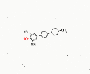 CC1CCC(c2ccc(-c3cc(C(C)(C)C)c(O)c(C(C)(C)C)c3)cc2)CC1